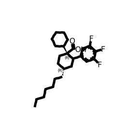 CCCCCCC[C@@H]1CC[C@@](C(=O)O)(C2CCCCC2)C(c2cc(F)c(F)c(F)c2)C1